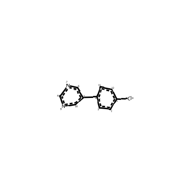 Clc1ccc(-c2cncnc2)cc1